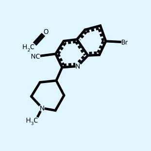 C=O.CN1CCC(c2nc3cc(Br)ccc3cc2C#N)CC1